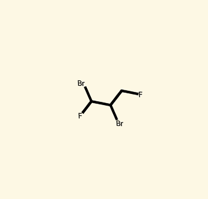 FCC(Br)C(F)Br